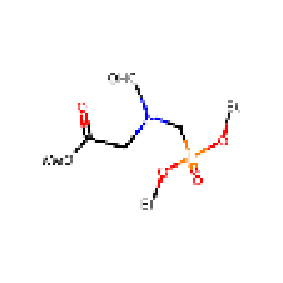 CCOP(=O)(CN(C=O)CC(=O)OC)OCC